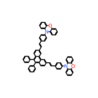 C(=C\c1ccc2c(-c3ccccc3)c(-c3ccccc3)c3ccc(/C=C/c4ccc(N5c6ccccc6Oc6ccccc65)cc4)cc3c2c1)/c1ccc(N2c3ccccc3Oc3ccccc32)cc1